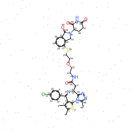 Cc1sc2c(c1C)C(c1ccc(Cl)cc1)=N[C@@H](CC(=O)NCCOCCSc1cccc3c1CN(C1CCC(=O)NC1=O)C3=O)c1nnc(C)n1-2